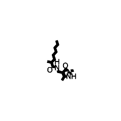 CCCCCCC(C)C(=O)NCc1c(C)[nH]n(C)c1=O